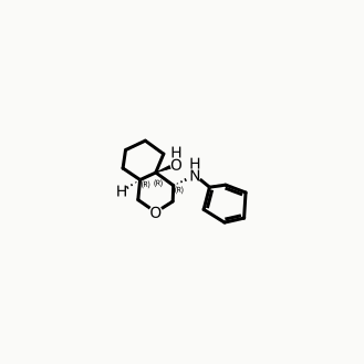 O[C@]12CCCC[C@@H]1COC[C@H]2Nc1ccccc1